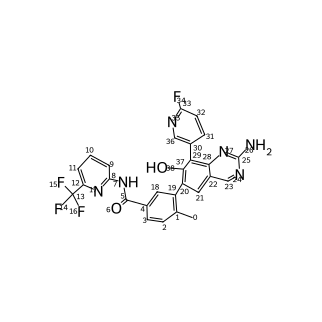 Cc1ccc(C(=O)Nc2cccc(C(F)(F)F)n2)cc1-c1cc2cnc(N)nc2c(-c2ccc(F)nc2)c1O